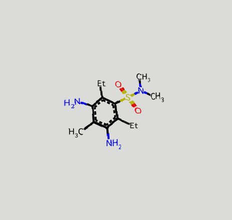 CCc1c(N)c(C)c(N)c(CC)c1S(=O)(=O)N(C)C